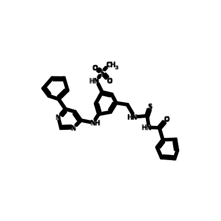 CS(=O)(=O)Nc1cc(CNC(=S)NC(=O)c2ccccc2)cc(Nc2cc(-c3ccccc3)ncn2)c1